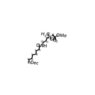 CCCCCCCCCCCCCCCCC(=O)NCCC[N+](C)(C)CC(=O)OC